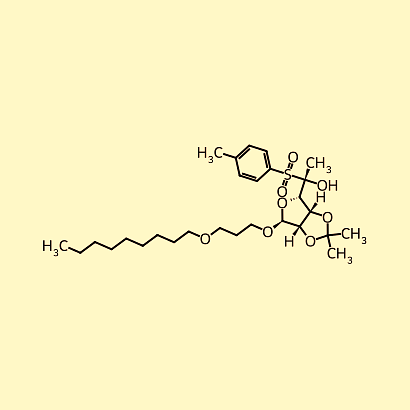 CCCCCCCCCOCCCO[C@H]1O[C@H]([C@@](C)(O)S(=O)(=O)c2ccc(C)cc2)[C@@H]2OC(C)(C)O[C@H]12